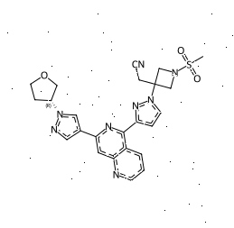 CS(=O)(=O)N1CC(CC#N)(n2ccc(-c3nc(-c4cnn([C@@H]5CCOC5)c4)cc4ncccc34)n2)C1